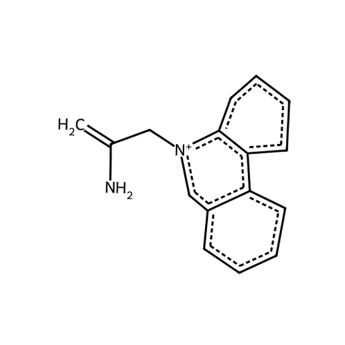 C=C(N)C[n+]1cc2ccccc2c2ccccc21